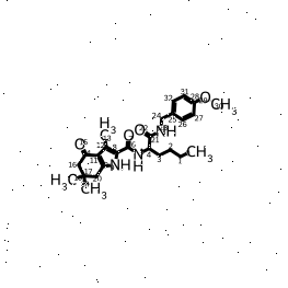 CCCCC(NC(=O)c1[nH]c2c(c1C)C(=O)CC(C)(C)C2)C(=O)NCc1ccc(OC)cc1